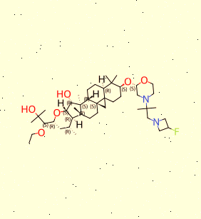 CCO[C@@H]([C@H]1C[C@@H](C)[C@H]2[C@H](O1)[C@H](O)[C@@]1(C)[C@@H]3CC[C@H]4C(C)(C)[C@@H](O[C@H]5CN(C(C)(C)CN6CC(F)C6)CCO5)CCC45C[C@@]35CC[C@]21C)C(C)(C)O